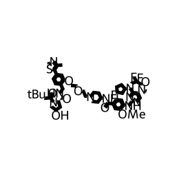 COc1cc(C(=O)NC2CCN(CCOCCOc3cc(-c4scnc4C)ccc3CNC(=O)[C@@H]3C[C@@H](O)CN3C(=O)CC(C)(C)C)CC2)c(F)cc1Nc1ncc2c(n1)N(C1CCCC1)CC(F)(F)C(=O)N2C